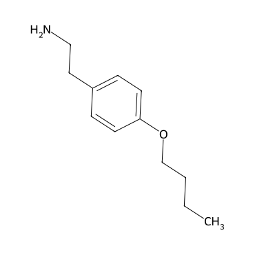 CCCCOc1ccc(CCN)cc1